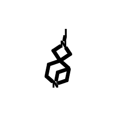 IN1CC2(CCN3CC2C3)C1